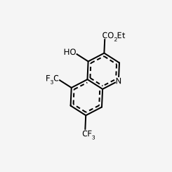 CCOC(=O)c1cnc2cc(C(F)(F)F)cc(C(F)(F)F)c2c1O